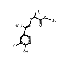 CC(O/N=C(\C(=O)O)c1ccc(O)c(Cl)c1)C(=O)OC(C)(C)C